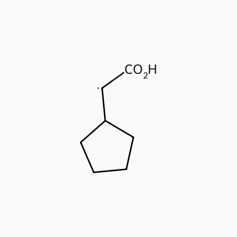 O=C(O)[CH]C1CCCC1